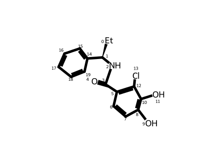 CC[C@@H](NC(=O)c1ccc(O)c(O)c1Cl)c1ccccc1